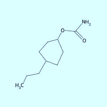 CCCC1CCC(OC(N)=O)CC1